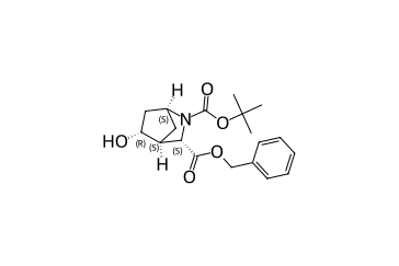 CC(C)(C)OC(=O)N1[C@H]2C[C@H]([C@H](O)C2)[C@H]1C(=O)OCc1ccccc1